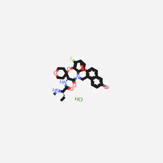 CC[C@H](NC)C(=O)N[C@@H]1C(=O)N(Cc2c(OC)ccc3cc(Br)ccc23)C2CC=CC(F)=C2OC12CCOCC2.Cl